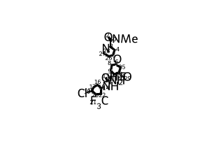 CNC(=O)c1cc(Oc2ccc(NC(=O)Nc3ccc(Cl)c(C(F)(F)F)c3)c(F)c2)ccn1.O